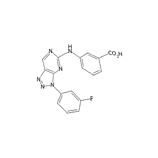 O=C(O)c1cccc(Nc2ncc3nnn(-c4cccc(F)c4)c3n2)c1